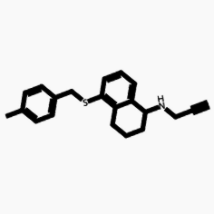 C#CCNC1CCCc2c(SCc3ccc(C)cc3)cccc21